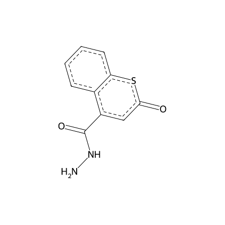 NNC(=O)c1cc(=O)sc2ccccc12